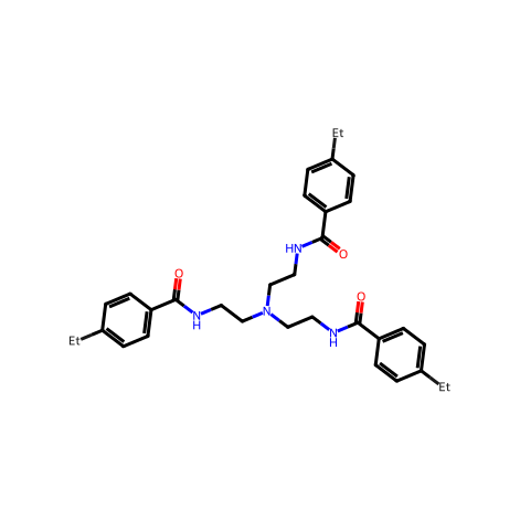 CCc1ccc(C(=O)NCCN(CCNC(=O)c2ccc(CC)cc2)CCNC(=O)c2ccc(CC)cc2)cc1